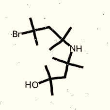 CC(C)(O)CC(C)(C)NC(C)(C)CC(C)(C)Br